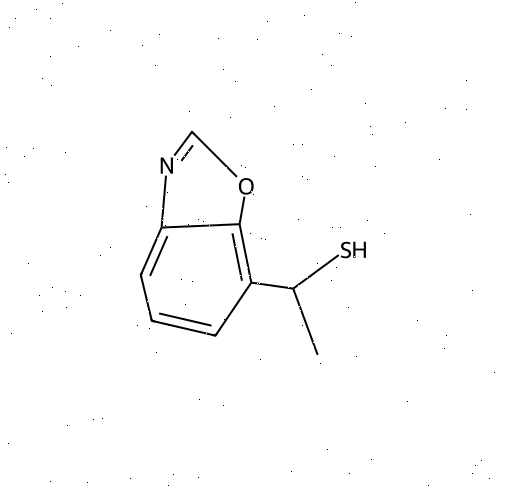 CC(S)c1cccc2ncoc12